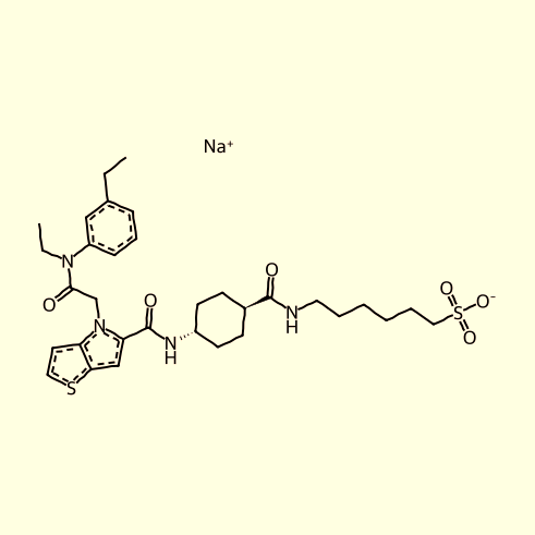 CCc1cccc(N(CC)C(=O)Cn2c(C(=O)N[C@H]3CC[C@H](C(=O)NCCCCCCS(=O)(=O)[O-])CC3)cc3sccc32)c1.[Na+]